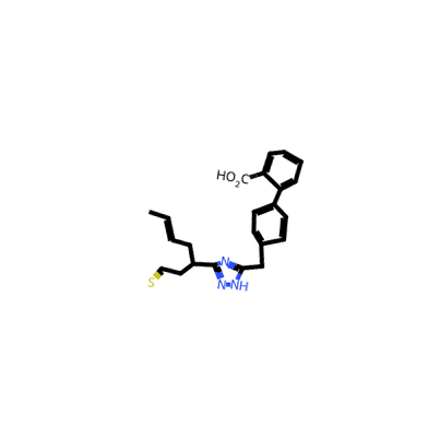 CC=CCC(CC=S)c1n[nH]c(Cc2ccc(-c3ccccc3C(=O)O)cc2)n1